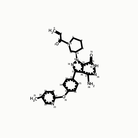 C=CC(=O)N1CCC[C@@H](n2nc(-c3ccc(Oc4ccc(C)cn4)cc3)c3c(N)n[nH]c(=O)c32)C1